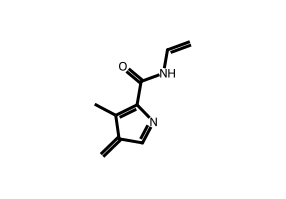 C=CNC(=O)C1=C(C)C(=C)C=N1